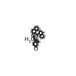 C[C@@H](C(=O)OC(c1cccc2c1CCCC2)c1cccc2ccccc12)n1ccc2cc(Cl)ccc21